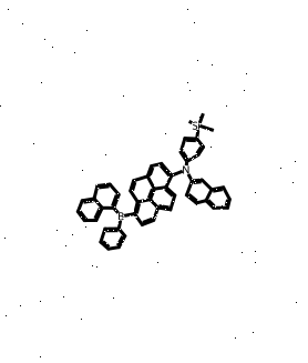 C[Si](C)(C)c1ccc(N(c2ccc3ccccc3c2)c2ccc3ccc4c(B(c5ccccc5)c5cccc6ccccc56)ccc5ccc2c3c54)cc1